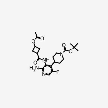 CC(=O)OC1CC(C(=O)Nc2c(N)ncc(F)c2C2CCN(C(=O)OC(C)(C)C)CC2)C1